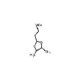 CSCCC1OC(C)C(C)O1